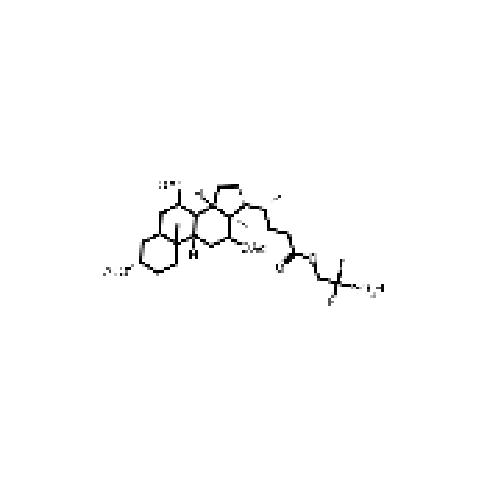 CC(=O)OC1CC2C[C@@H](OC(C)=O)CCC2(C)[C@H]2CC(OC(C)=O)[C@]3(C)[C@@H]([C@H](C)CCC(=O)OCC(F)(F)S(=O)(=O)O)CC[C@H]3C12